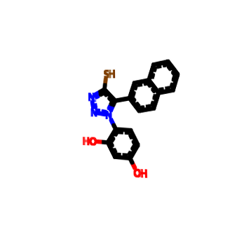 Oc1ccc(-n2nnc(S)c2-c2ccc3ccccc3c2)c(O)c1